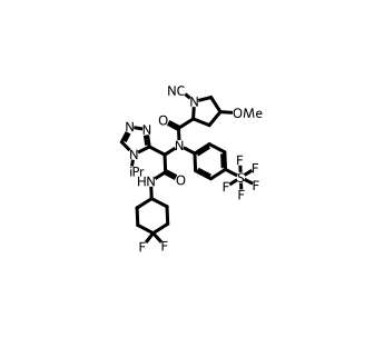 COC1CC(C(=O)N(c2ccc(S(F)(F)(F)(F)F)cc2)C(C(=O)NC2CCC(F)(F)CC2)c2nncn2C(C)C)N(C#N)C1